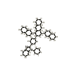 c1ccc(-n2c(-c3ccc(-c4cc(-c5ccc6ccccc6c5)c5cc6ccccc6cc5c4-c4ccc5ccccc5c4)cc3)nc3ccccc32)cc1